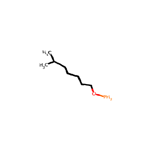 CC(C)CCCCCOP